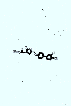 CC(C)(C)OC(=O)C[C@@H]1C[C@@H](COc2ccc(-c3ccc(C#N)c(Cl)c3)cc2)NC1=O